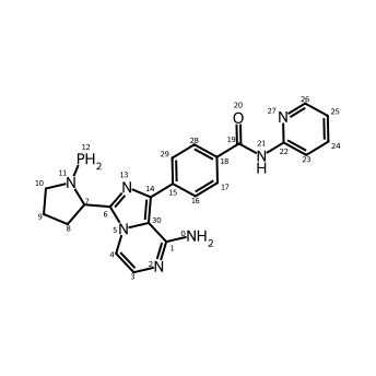 Nc1nccn2c(C3CCCN3P)nc(-c3ccc(C(=O)Nc4ccccn4)cc3)c12